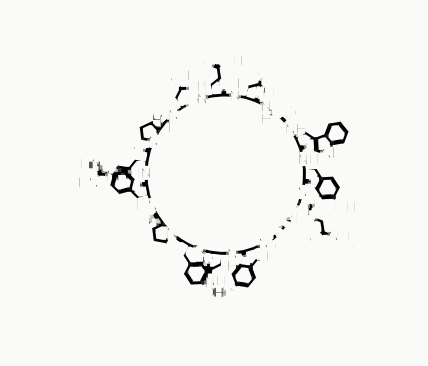 CC(C)C[C@H]1CN[C@@H](CCC(=O)O)C(=O)N[C@@H](CC(C)C)C(=O)NCC(=O)N[C@@H](Cc2c[nH]c3ccccc23)C(=O)N[C@@H](Cc2ccc(O)cc2)C(=O)N[C@H](C(=O)NCC(N)=O)CSCC(=O)N[C@H](Cc2ccc(O)cc2)C(=O)N[C@@H](CC(N)=O)C(=O)N[C@@H](Cc2ccc(O)cc2)C(=O)N2CCC[C@H]2C(=O)N[C@@H](Cc2ccc(O)cc2)C(=O)N[C@@H](CCCNC(=N)N)C(=O)N2CCC[C@H]2C(=O)N1